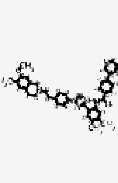 COc1cc2c(cc1C)CCN(CCc1ccc(-n3nnc(-c4cc(C)c(C)cc4NC(=O)c4ccc(-c5cccnc5)cc4)n3)cc1)C2